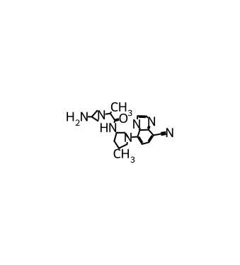 CC(C(=O)N[C@@H]1C[C@H](C)CN(c2ccc(C#N)c3nccnc23)C1)N1CC(N)C1